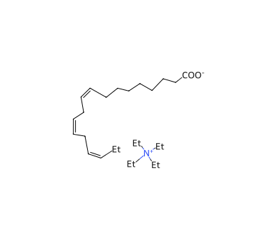 CC/C=C\C/C=C\C/C=C\CCCCCCCC(=O)[O-].CC[N+](CC)(CC)CC